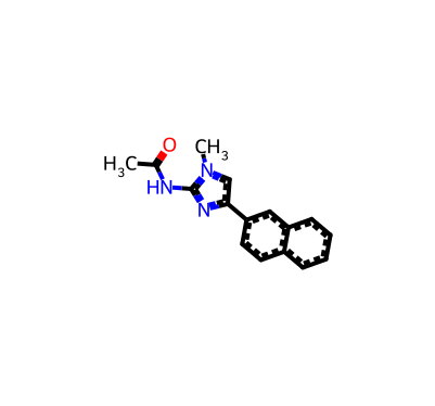 CC(=O)Nc1nc(-c2ccc3ccccc3c2)cn1C